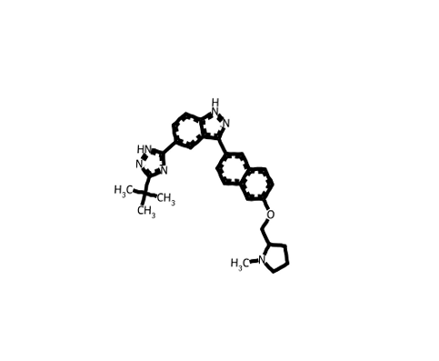 CN1CCCC1COc1ccc2cc(-c3n[nH]c4ccc(-c5nc(C(C)(C)C)n[nH]5)cc34)ccc2c1